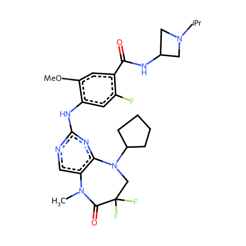 COc1cc(C(=O)NC2CN(C(C)C)C2)c(F)cc1Nc1ncc2c(n1)N(C1CCCC1)CC(F)(F)C(=O)N2C